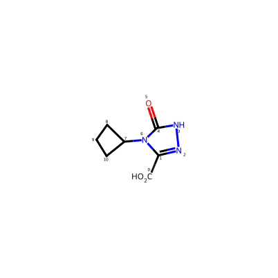 O=C(O)c1n[nH]c(=O)n1C1CCC1